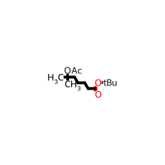 CC(=O)OC(C)(C)CCCCC(=O)OC(C)(C)C